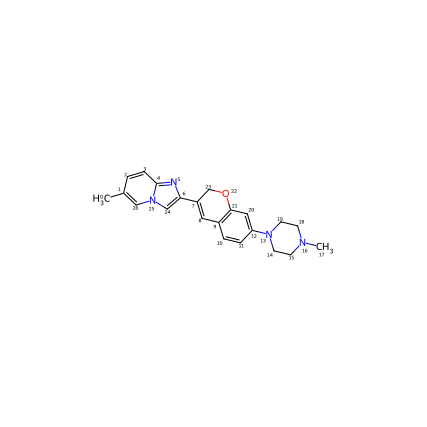 Cc1ccc2nc(C3=Cc4ccc(N5CCN(C)CC5)cc4OC3)cn2c1